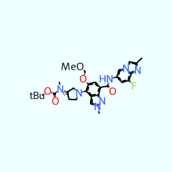 COCOc1cc(C(=O)Nc2cc(F)c3nc(C)cn3c2)c2nn(C)cc2c1N1CC[C@H](N(C)C(=O)OC(C)(C)C)C1